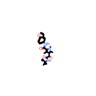 C#CC1(NC(=O)C(=O)c2c(C)c(C(=O)Nc3ccc4occc4c3)n(C)c2C)CC1